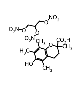 Cc1c(C)c2c(c(C)c1O)CCC(C)(C(=O)O)O2.O=[N+]([O-])OCC(CO[N+](=O)[O-])O[N+](=O)[O-]